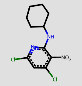 O=[N+]([O-])c1c(Cl)cc(Cl)nc1NC1CCCCC1